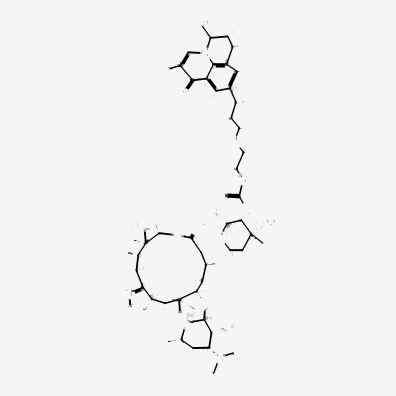 CC[C@H]1OC(=O)[C@H](C)[C@@H](O[C@H]2C[C@@](C)(OC)[C@@H](OC(=O)NCCOCCCc3cc4c5c(c3)c(=O)c(C(=O)O)cn5C(C)CC4)[C@H](C)O2)[C@H](C)[C@@H](OC2O[C@H](C)C[C@H](N(C)C)[C@H]2O)[C@](C)(O)C[C@@H](C)/C(=N\O)[C@H](C)[C@@H](O)[C@]1(C)O